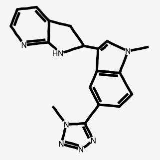 Cn1nnnc1-c1ccc2c(c1)c(C1Cc3cccnc3N1)cn2C